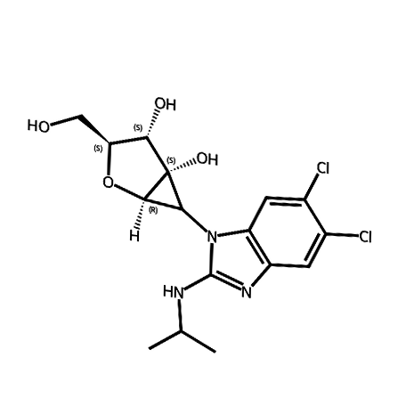 CC(C)Nc1nc2cc(Cl)c(Cl)cc2n1C1[C@H]2O[C@@H](CO)[C@H](O)[C@@]12O